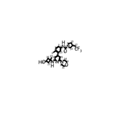 Cc1ccc(NC(=O)N2CCC(CC(F)(F)F)C2)cc1-c1cc(NC2(C)CC(O)C2)nc(N2CCOCC2)c1